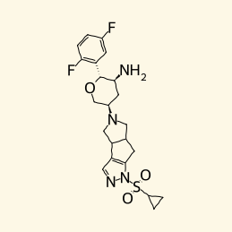 N[C@H]1C[C@@H](N2CC3Cc4c(cnn4S(=O)(=O)C4CC4)C3C2)CO[C@@H]1c1cc(F)ccc1F